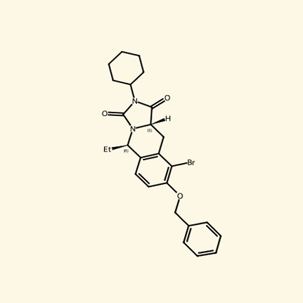 CC[C@@H]1c2ccc(OCc3ccccc3)c(Br)c2C[C@H]2C(=O)N(C3CCCCC3)C(=O)N12